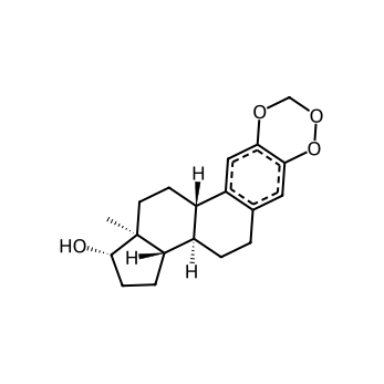 C[C@]12CC[C@@H]3c4cc5c(cc4CC[C@H]3[C@@H]1CC[C@@H]2O)OOCO5